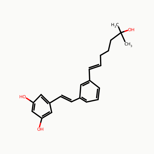 CC(C)(O)CCCC=Cc1cccc(C=Cc2cc(O)cc(O)c2)c1